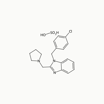 Clc1ccc(Cn2c(CN3CCCC3)nc3ccccc32)cc1.O=S(=O)(O)O